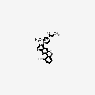 C=CC(=O)N1CCN(c2ncnc3c(F)c(-c4c(O)cccc4F)c(Cl)cc23)[C@H](C)C1